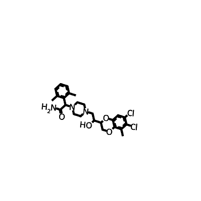 Cc1cccc(C)c1C(C(N)=O)N1CCN(CC(O)C2COc3c(cc(Cl)c(Cl)c3C)O2)CC1